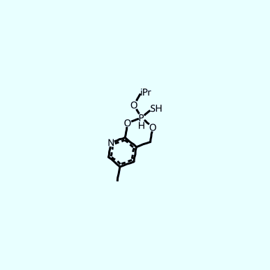 Cc1cnc2c(c1)CO[PH](S)(OC(C)C)O2